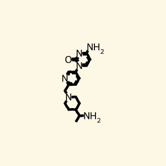 CC(N)C1CCN(Cc2ccc(-n3ccc(N)nc3=O)cn2)CC1